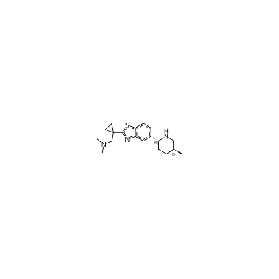 C[C@H]1CC[C@H](c2ccc3sc(C4(CN(C)C)CC4)nc3c2)NC1